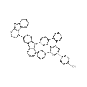 CCCCc1ccc(-c2nc(-c3ccccc3)nc(-c3ccccc3-c3ccc(-n4c5ccccc5c5cc(-c6cccc7oc8ccccc8c67)ccc54)cc3)n2)cc1